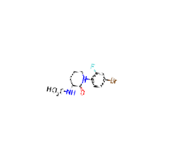 O=C(O)N[C@@H]1CCCN(c2ccc(Br)cc2F)C1=O